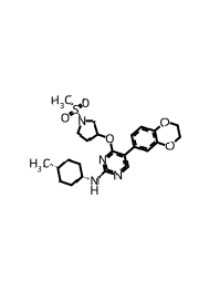 CS(=O)(=O)N1CCC(Oc2nc(N[C@H]3CC[C@@H](C)CC3)ncc2-c2ccc3c(c2)OCCO3)C1